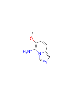 COc1ccc2cncn2c1N